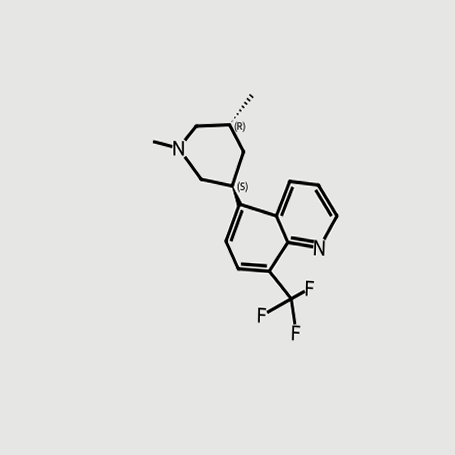 C[C@@H]1C[C@@H](c2ccc(C(F)(F)F)c3ncccc23)CN(C)C1